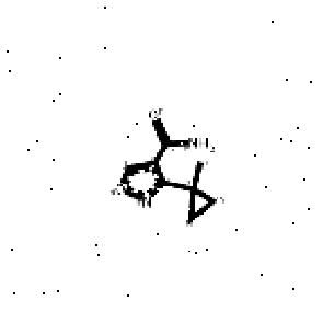 CC1(c2no[c]c2C(N)=O)CC1